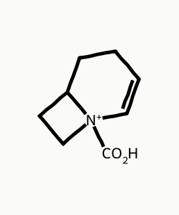 O=C(O)[N+]12C=CCCC1CC2